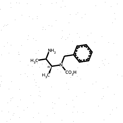 CC(N)[C@H](C)N(Cc1ccccc1)C(=O)O